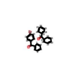 O=C(c1ccccc1)c1ccc(Br)cc1.O=C(c1ccccc1)c1ccccc1